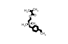 C=Cc1ccc(C[N+](C)(C)CCOC(=O)C(=C)C)cc1